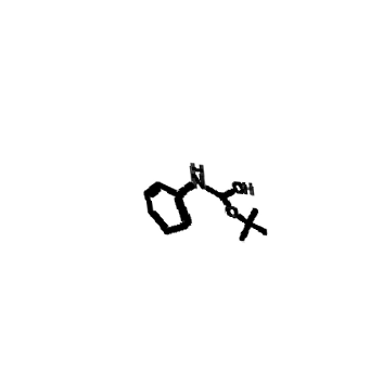 CC(C)(C)OC(O)Nc1ccccc1